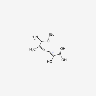 CC(=C/C=C(\O)B(O)O)C(N)OC(C)(C)C